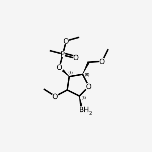 B[C@@H]1O[C@H](COC)[C@H](OP(C)(=O)OC)C1OC